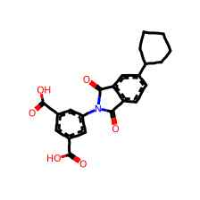 O=C(O)c1cc(C(=O)O)cc(N2C(=O)c3ccc(C4CCCCC4)cc3C2=O)c1